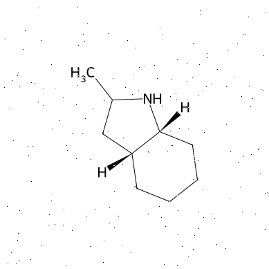 CC1C[C@H]2CCCC[C@H]2N1